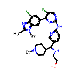 CCN1CCC(C(NCCO)c2ccc(Nc3ncc(F)c(-c4cc(F)c5nc(C)n(C(C)C)c5c4)n3)nc2)CC1